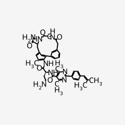 CC(C)=Cc1ccc(-c2nc(C)c(C(=O)N[C@@H](CCN)C(=O)Nc3c(C)cc4cc3-c3cccc(c3)CC(=O)NCC(=O)NC(C(N)=O)C4)c(C)n2)cc1